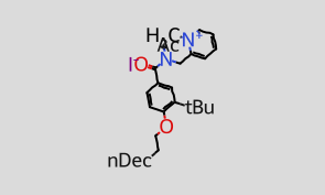 CCCCCCCCCCCCOc1ccc(C(=O)N(Cc2cccc[n+]2C)C(C)=O)cc1C(C)(C)C.[I-]